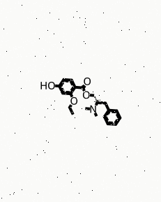 CCOc1cc(O)ccc1C(=O)OC[C@H](Cc1ccccc1)N(C)C